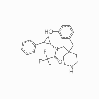 O=C(N(CC1(Cc2cccc(O)c2)CCNCC1)[C@@H]1CC1c1ccccc1)C(F)(F)F